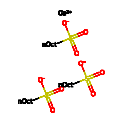 CCCCCCCCS(=O)(=O)[O-].CCCCCCCCS(=O)(=O)[O-].CCCCCCCCS(=O)(=O)[O-].[Ga+3]